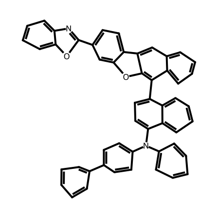 c1ccc(-c2ccc(N(c3ccccc3)c3ccc(-c4c5ccccc5cc5c4oc4cc(-c6nc7ccccc7o6)ccc45)c4ccccc34)cc2)cc1